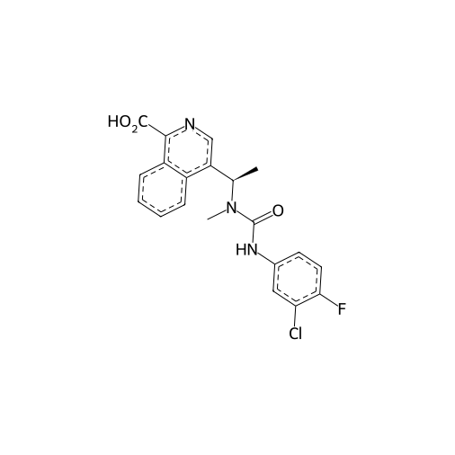 C[C@H](c1cnc(C(=O)O)c2ccccc12)N(C)C(=O)Nc1ccc(F)c(Cl)c1